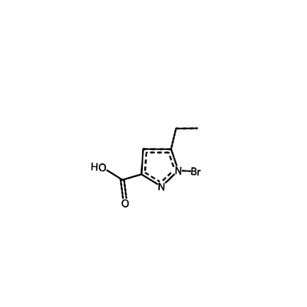 CCc1cc(C(=O)O)nn1Br